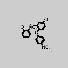 O=[N+]([O-])c1ccc(Oc2ccc(Cl)cc2Cl)cc1.O=[N+]([O-])c1ccccc1O